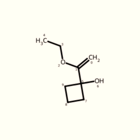 C=C(OCC)C1(O)CCC1